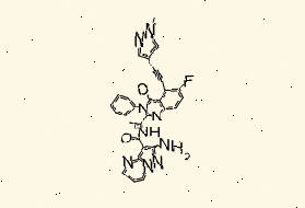 C[C@H](NC(=O)c1c(N)nn2cccnc12)c1nc2ccc(F)c(C#Cc3cnn(C)c3)c2c(=O)n1-c1ccccc1